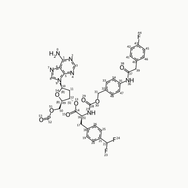 Nc1ncnc2c1ncn2[C@H]1C[C@H](OC(=O)[C@H](Cc2ccc(C(F)F)cc2)NC(=O)OCc2ccc(NC(=O)Cc3ccc(F)cc3)cc2)[C@@H](COP=O)O1